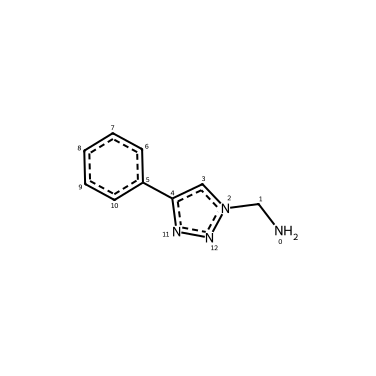 NCn1cc(-c2ccccc2)nn1